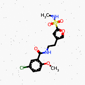 CNS(=O)(=O)c1cc(CCNC(=O)c2cc(Cl)ccc2OC)co1